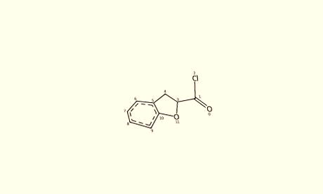 O=C(Cl)C1Cc2ccccc2O1